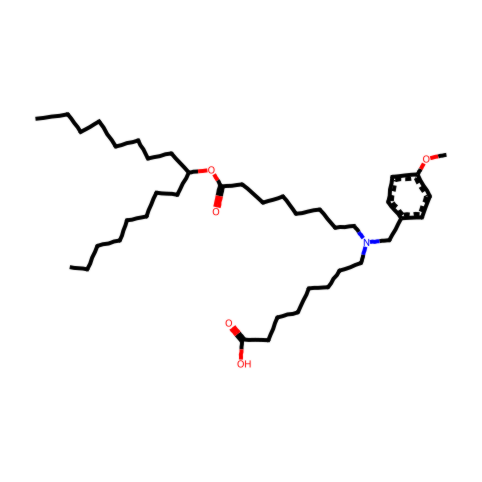 CCCCCCCCC(CCCCCCCC)OC(=O)CCCCCCCN(CCCCCCCC(=O)O)Cc1ccc(OC)cc1